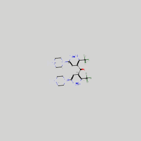 O=C(c1cc(N2CCNCC2)nnc1C(F)(F)F)c1cc(N2CCNCC2)nnc1C(F)(F)F